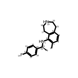 Cc1ccc2c(c1N[C@@H](C)c1ccc(F)cc1)CCNCC2